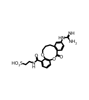 N=C(N)Nc1ccc2c(c1)CCCOc1c(cccc1C(=O)NCCS(=O)(=O)O)OC2=O